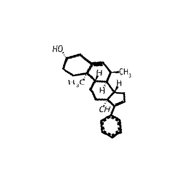 C[C@@H]1C=C2C[C@@H](O)CC[C@]2(C)[C@H]2CC[C@]3(C)C(c4ccccc4)=CC[C@H]3[C@H]12